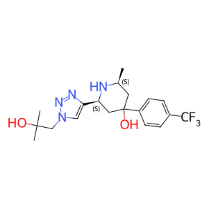 C[C@H]1CC(O)(c2ccc(C(F)(F)F)cc2)C[C@@H](c2cn(CC(C)(C)O)nn2)N1